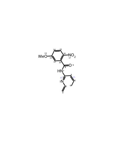 C=C/N=C(\C=C/C)NC(=O)c1cc(OC)ccc1[N+](=O)[O-]